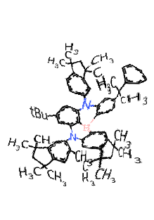 Cc1cc2c(cc1N1c3cc4c(cc3B3c5ccc(C(C)(C)c6ccccc6)cc5N(c5ccc6c(c5)C(C)(C)CC6(C)C)c5cc(C(C)(C)C)cc1c53)C(C)(C)CC4(C)C)C(C)(C)CC2(C)C